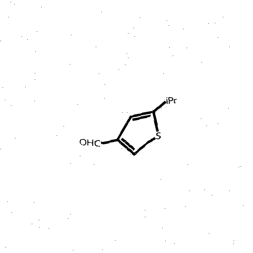 CC(C)c1cc(C=O)cs1